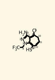 Nc1nn(CC(F)(F)F)c2c1=C(Cl)CC=CC=2S